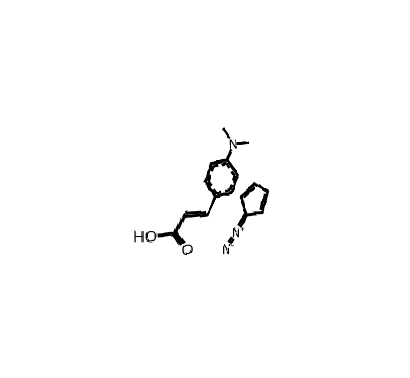 CN(C)c1ccc(/C=C/C(=O)O)cc1.[N-]=[N+]=C1C=CC=C1